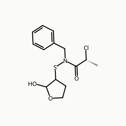 C[C@@H](Cl)C(=O)N(Cc1ccccc1)SC1CCOC1O